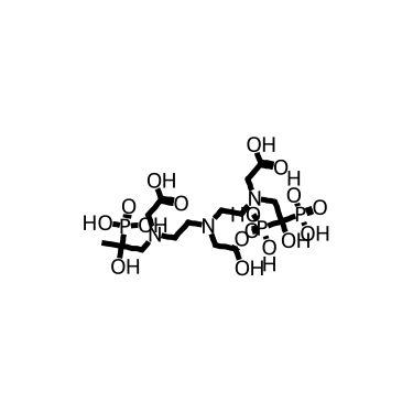 CC(O)(CN(CCN(CCN(CC(=O)O)CC(O)(P(=O)(O)O)P(=O)(O)O)CC(=O)O)CC(=O)O)P(=O)(O)O